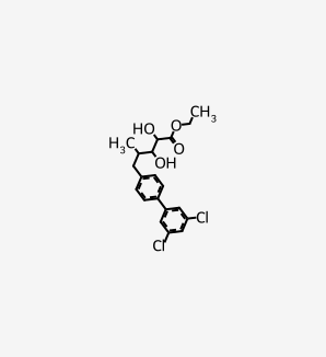 CCOC(=O)C(O)C(O)C(C)Cc1ccc(-c2cc(Cl)cc(Cl)c2)cc1